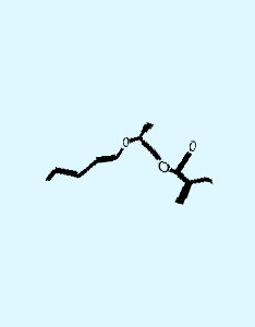 C=C(C)C(=O)OC(C)O/C=C/C=C/C